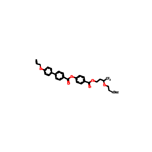 C=CCOc1ccc(-c2ccc(C(=O)Oc3ccc(C(=O)OCCC(OCCCCCCCCCCCC)C(F)(F)F)cc3)cc2)cc1